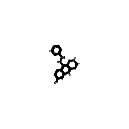 Clc1ccc2c(NNc3ccccc3)c3c(nc2c1)CCSC3